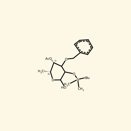 CC(=O)O[C@@H]1C(OCc2ccccc2)C(O[Si](C)(C)C(C)(C)C)C(O)O[C@@H]1C